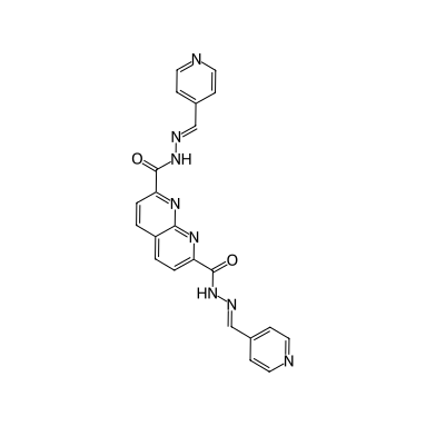 O=C(NN=Cc1ccncc1)c1ccc2ccc(C(=O)NN=Cc3ccncc3)nc2n1